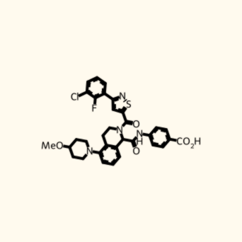 COC1CCN(c2cccc3c2CCN(C(=O)c2cc(-c4cccc(Cl)c4F)ns2)C3C(=O)Nc2ccc(C(=O)O)cc2)CC1